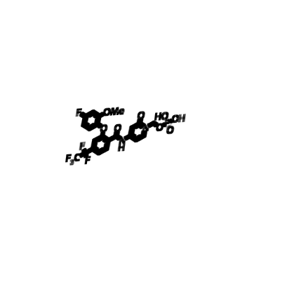 COc1cc(F)ccc1Oc1cc(C(F)(F)C(F)(F)F)ccc1C(=O)Nc1ccn(COP(=O)(O)O)c(=O)c1